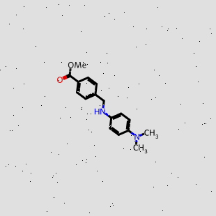 COC(=O)c1ccc(CNc2ccc(N(C)C)cc2)cc1